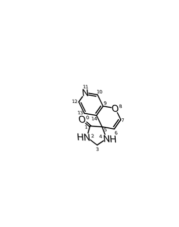 O=C1NCNC12C=COc1cnccc12